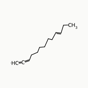 [CH]=C=CCCCCCCC=CCC